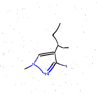 CCC(C)c1cn(C)nc1I